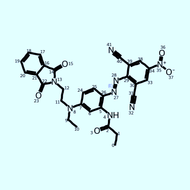 CCC(=O)Nc1cc(N(CC)CCN2C(=O)c3ccccc3C2=O)ccc1/N=N/c1c(C#N)cc([N+](=O)[O-])cc1C#N